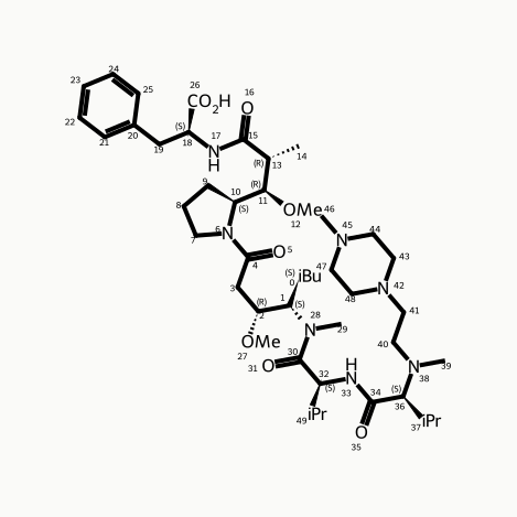 CC[C@H](C)[C@@H]([C@@H](CC(=O)N1CCC[C@H]1[C@H](OC)[C@@H](C)C(=O)N[C@@H](Cc1ccccc1)C(=O)O)OC)N(C)C(=O)[C@@H](NC(=O)[C@H](C(C)C)N(C)CCN1CCN(C)CC1)C(C)C